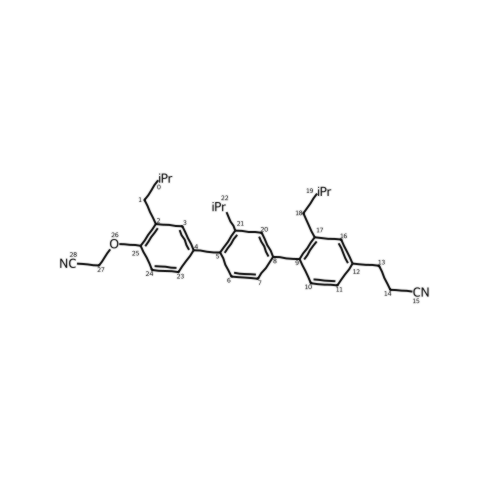 CC(C)Cc1cc(-c2ccc(-c3ccc(CCC#N)cc3CC(C)C)cc2C(C)C)ccc1OCC#N